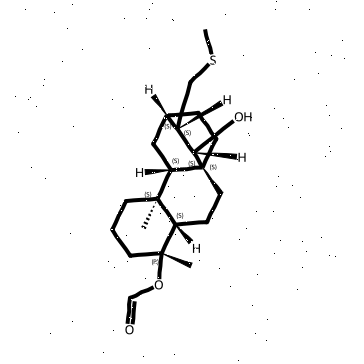 CSC[C@H]1[C@H]2CC[C@@]3(CC[C@H]4[C@@](C)(CCC[C@@]4(C)OC=O)[C@@H]3C2)[C@H]1O